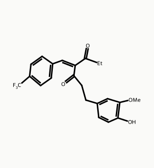 CCC(=O)C(=Cc1ccc(C(F)(F)F)cc1)C(=O)CCc1ccc(O)c(OC)c1